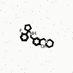 Oc1ccc(CNC2(c3ccccc3F)CCCC2)cc1CN1CCCCC1